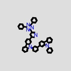 C1=CC2c3ccccc3N(c3cccc(-c4ccc5c6ccccc6n(-c6ccccc6)c5c4)c3)C2C=C1c1cncc(-c2nc(-c3ccccc3)nc(-c3ccccc3)n2)c1